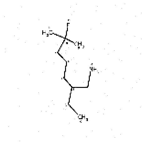 CCC(CN)CCCC(C)(C)F